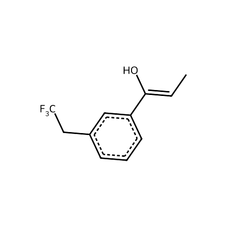 CC=C(O)c1cccc(CC(F)(F)F)c1